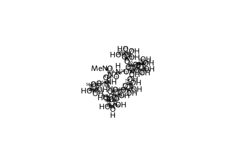 CNC(=O)CN(CC(=O)NCCO[C@H]1O[C@H](CO[C@H]2O[C@H](CO)[C@@H](O)[C@H](O)[C@@H]2O)[C@@H](O)[C@H](O[C@H]2O[C@H](CO)[C@@H](O)[C@H](O)[C@@H]2O)[C@@H]1O)CC(=O)NN(CCO[C@@H]1O[C@@H](C)[C@@H](O)[C@@H](O)[C@@H]1O)CCO[C@H]1O[C@H](CO[C@H]2O[C@H](CO)[C@@H](O)[C@H](O)[C@@H]2O)[C@@H](O)[C@H](O[C@H]2O[C@H](CO)[C@@H](O)[C@H](O)[C@@H]2O)[C@@H]1O